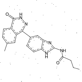 CCCC(=O)Nc1nc2cc(-c3n[nH]c(=O)c4ccc(C)cc34)ccc2[nH]1